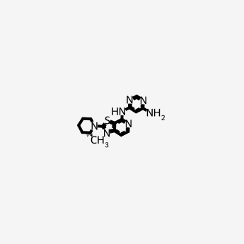 C[C@@H]1CCCCN1c1nc2ccnc(Nc3cc(N)ncn3)c2s1